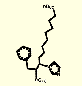 CCCCCCCCCCCCCCCCCCC(C(CCCCCCCC)Cc1ccccc1)n1ccnc1